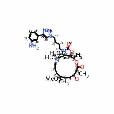 CC[C@H]1OC(=O)[C@H](C)C(=O)CC[C@](C)(OC)CCCN(C)[C@H](C)[C@H]2N(CCCCn3cc(-c4cccc(N)c4)nn3)C(=O)O[C@]12C